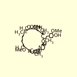 CO[C@H]1C[C@@H]2CC[C@@H](C)[C@@](O)(C2)C(=O)C(=O)N2CCCC[C@H]2C(=O)O[C@H]([C@H](C)CC2CC[C@@H](O)[C@H](OC)C2)CC(=O)[C@H](C)/C=C(\C)C(O)[C@@H](OC)C(=O)[C@H](C)C[C@H](C)/C=C/C=C/C=C/1C